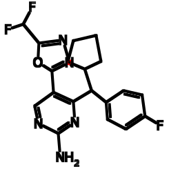 Nc1ncc(-c2nnc(C(F)F)o2)c(C(c2ccc(F)cc2)C2CCCC2)n1